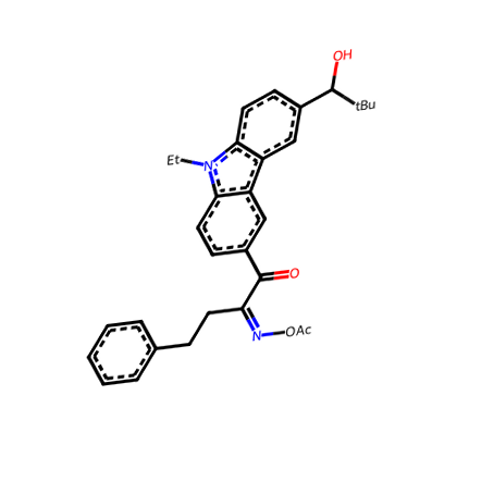 CCn1c2ccc(C(=O)/C(CCc3ccccc3)=N\OC(C)=O)cc2c2cc(C(O)C(C)(C)C)ccc21